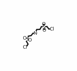 O=S(=O)(CCCl)CCC[N]CCCS(=O)(=O)CCCl